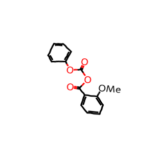 COc1ccccc1C(=O)OC(=O)Oc1ccccc1